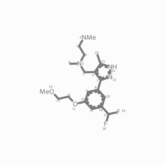 CNCCN(C)Cc1c(-c2cc(OCCOC)cc(C(F)F)c2)n[nH]c1C